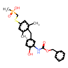 Cc1cc(SCP(C)(=O)O)cc(C)c1Cc1ccc(O)c(NC(=O)OCc2ccccc2)c1